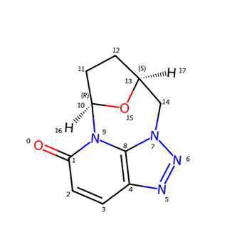 O=c1ccc2nnn3c2n1[C@H]1CC[C@@H](C3)O1